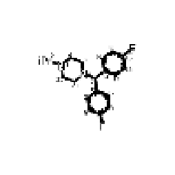 CC(C)N1CCN(C(c2ccc(F)cc2)c2ccc(F)cc2)CC1